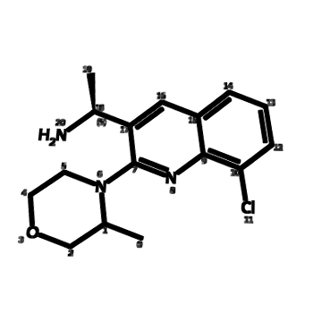 CC1COCCN1c1nc2c(Cl)cccc2cc1[C@H](C)N